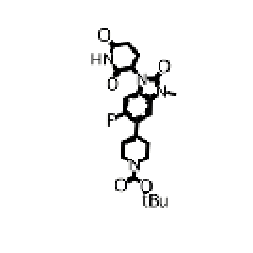 Cn1c(=O)n(C2CCC(=O)NC2=O)c2cc(F)c(C3=CCN(C(=O)OC(C)(C)C)CC3)cc21